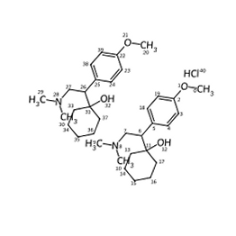 COc1ccc(C(CN(C)C)C2(O)CCCCC2)cc1.COc1ccc(C(CN(C)C)C2(O)CCCCC2)cc1.Cl